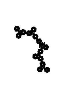 c1ccc(-n2c3ccccc3c3cc(-c4ccc5c(c4)c4ccccc4n5-c4ccc(-c5ccc(-c6nc(-c7ccc(-n8c9ccccc9c9cc(-c%10ccc%11c(c%10)c%10ccccc%10n%11-c%10ccccc%10)ccc98)cc7)c7ccccc7n6)cc5)cc4)ccc32)cc1